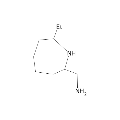 CCC1CCCCC(CN)N1